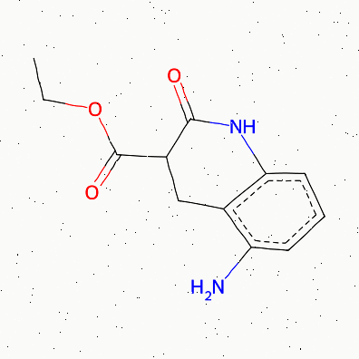 CCOC(=O)C1Cc2c(N)cccc2NC1=O